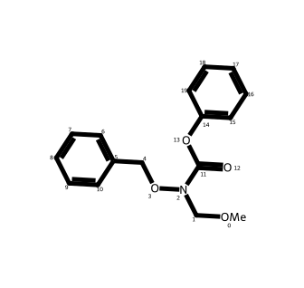 COCN(OCc1ccccc1)C(=O)Oc1ccccc1